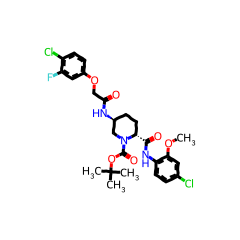 COc1cc(Cl)ccc1NC(=O)[C@H]1CC[C@H](NC(=O)COc2ccc(Cl)c(F)c2)CN1C(=O)OC(C)(C)C